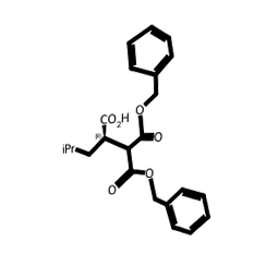 CC(C)C[C@@H](C(=O)O)C(C(=O)OCc1ccccc1)C(=O)OCc1ccccc1